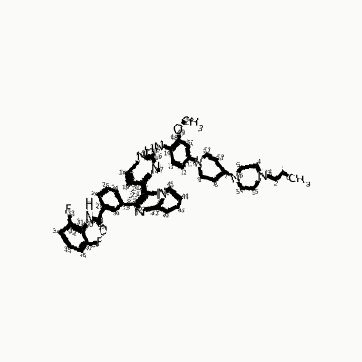 CCCN1CCN(C2CCN(c3ccc(Nc4nccc(-c5c(-c6cccc(C(=O)Nc7c(F)cccc7F)c6)nc6ccccn56)n4)c(OC)c3)CC2)CC1